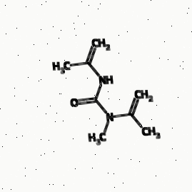 C=C(C)NC(=O)N(C)C(=C)C